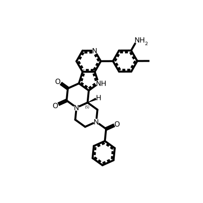 Cc1ccc(-c2nccc3c4c([nH]c23)[C@@H]2CN(C(=O)c3ccccc3)CCN2C(=O)C4=O)cc1N